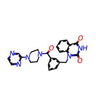 O=C(c1cccc(Cn2c(=O)[nH]c(=O)c3ccccc32)c1)N1CCN(c2cnccn2)CC1